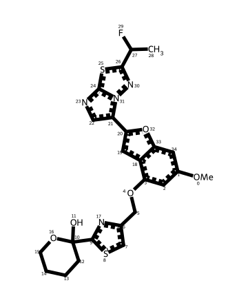 COc1cc(OCc2csc(C3(O)CCCCO3)n2)c2cc(-c3cnc4sc(C(C)F)nn34)oc2c1